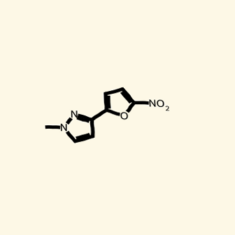 Cn1ccc(-c2ccc([N+](=O)[O-])o2)n1